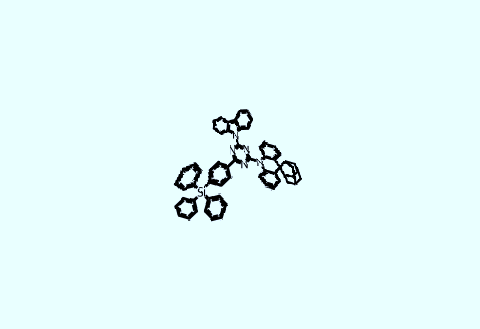 c1ccc([Si](c2ccccc2)(c2ccccc2)c2ccc(-c3nc(N4c5ccccc5C5(c6ccccc64)C4CC6CC(C4)CC5C6)nc(-n4c5ccccc5c5ccccc54)n3)cc2)cc1